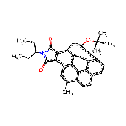 CCC(CC)n1c(=O)c2c3cc(C)c4ccc5ccc6c(OC(C)(C)C)cc(c2c1=O)c1c6c5c4c31